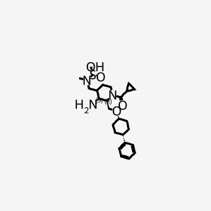 CN(CC1CCN(C(=O)C2CC2)[C@@H](CO[C@H]2CC[C@@H](c3ccccc3)CC2)[C@H]1N)S(=O)O